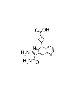 NC(=O)C1=C(N)N=C2C1=Cc1ncccc1C2C1CN(C(=O)O)C1